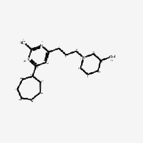 N#Cc1nc(CCCN2CCCC(O)C2)cc(C2CCCCCC2)n1